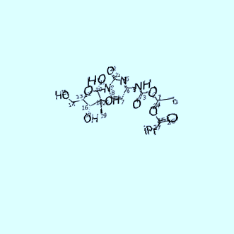 CC(OC(=O)Nc1ccn([C@]2(O)O[C@H](CO)[C@@H](O)[C@@]2(C)O)c(=O)n1)OC(=O)C(C)C